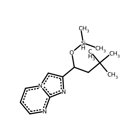 C[SiH](C)OC(CC(C)(C)C)c1cn2cccnc2n1